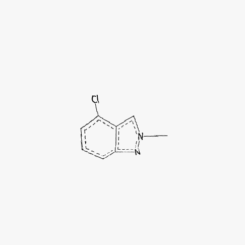 Cn1cc2c(Cl)cccc2n1